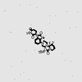 Cn1c(=O)n(C2CCC(=O)NC2=O)c2cccc(N3CCN(C4N(C(=O)OC(C)(C)C)CC=CC4(F)F)CC3)c21